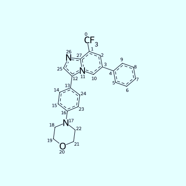 FC(F)(F)c1cc(-c2ccccc2)cn2c(-c3ccc(N4CCOCC4)cc3)cnc12